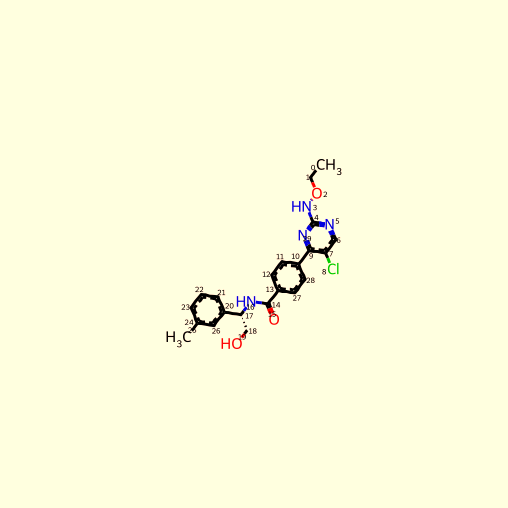 CCONc1ncc(Cl)c(-c2ccc(C(=O)N[C@H](CO)c3cccc(C)c3)cc2)n1